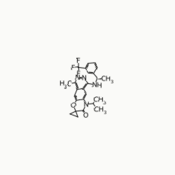 Cc1nnc(N[C@H](C)c2cccc(C(F)(F)F)c2)c2cc3c(cc12)OC1(CC1)C(=O)N3C(C)C